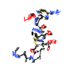 CNCCN1CCC(=CC2=C(C(=O)O)N3C(=O)[C@@H](NC(=O)C(=NO)c4nsc(N)n4)[C@H]3SC2)C1=O